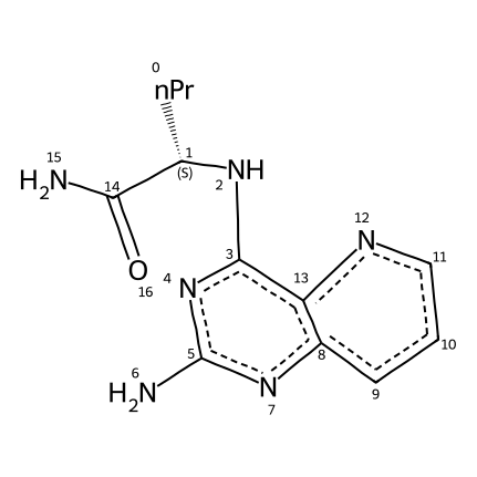 CCC[C@H](Nc1nc(N)nc2cccnc12)C(N)=O